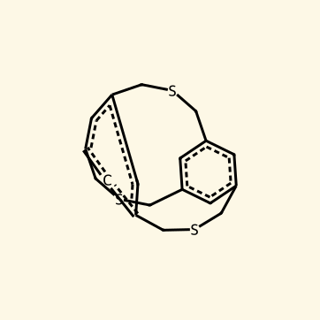 c1c2cc3cc1CSCc1cc(cc(c1)CSC3)CSC2